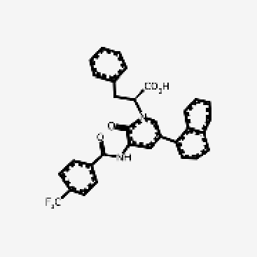 O=C(Nc1cc(-c2cccc3ccccc23)cn([C@@H](Cc2ccccc2)C(=O)O)c1=O)c1ccc(C(F)(F)F)cc1